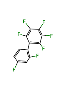 Fc1ccc(-c2c(F)c(F)c(F)c(F)c2F)c(F)c1